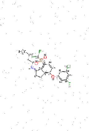 CCCC/N=C1/CCc2c(Oc3cc(F)cc(Cl)c3)ccc(S(=O)(=O)C(F)F)c21